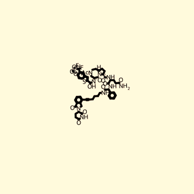 CC(=O)N1CC[C@H]2CC[C@@H](C(=O)NC(CCC(N)=O)C(=O)NC(C(=O)NCCCCC#Cc3cccc4c3CN(C3CCC(=O)NC3=O)C4=O)c3ccccc3)N2C(=O)[C@@H](NC(=O)c2cc3cc(C(F)(F)P(=O)(O)O)ccc3s2)C1